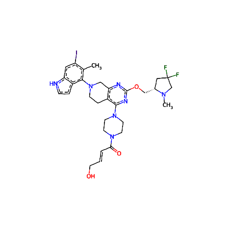 Cc1c(I)cc2[nH]ccc2c1N1CCc2c(nc(OC[C@@H]3CC(F)(F)CN3C)nc2N2CCN(C(=O)/C=C/CO)CC2)C1